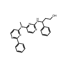 CN(c1ccnc(NC(CCO)c2ccccc2)n1)c1ccnc(-c2ccccc2)n1